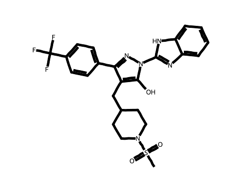 CS(=O)(=O)N1CCC(Cc2c(-c3ccc(C(F)(F)F)cc3)nn(-c3nc4ccccc4[nH]3)c2O)CC1